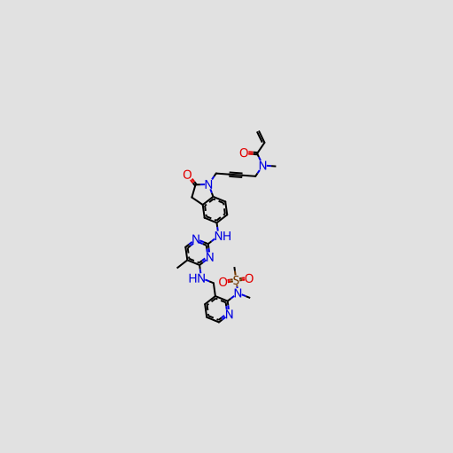 C=CC(=O)N(C)CC#CCN1C(=O)Cc2cc(Nc3ncc(C)c(NCc4cccnc4N(C)S(C)(=O)=O)n3)ccc21